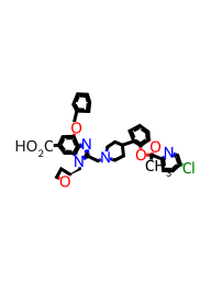 CC1(c2ccc(Cl)cn2)Oc2cccc(C3CCN(Cc4nc5c(OCc6ccccc6)cc(C(=O)O)cc5n4C[C@@H]4CCO4)CC3)c2O1